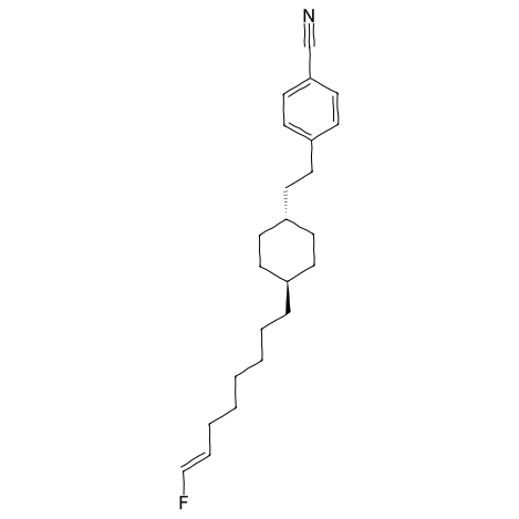 N#Cc1ccc(CC[C@H]2CC[C@H](CCCCCCC=CF)CC2)cc1